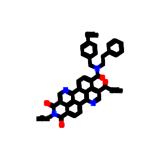 CCCCCCCCN1C(=O)c2ccc3c4ncc(C(=O)OC)c5c(C(=O)N(CCc6ccccc6)Cc6ccc(OC)cc6)ccc(c6ncc(c2c36)C1=O)c54